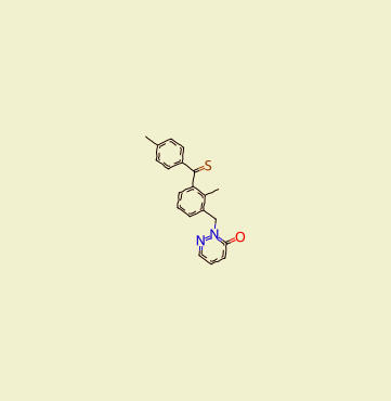 Cc1ccc(C(=S)c2cccc(Cn3ncccc3=O)c2C)cc1